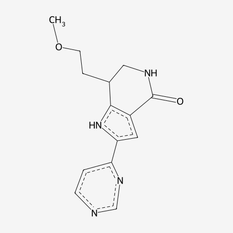 COCCC1CNC(=O)c2cc(-c3ccncn3)[nH]c21